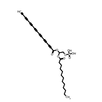 C#CC#CC#CC#CC#CC#CC#CC(=O)OC(COP(=O)(O)O)OC(=O)CCCCCCCCCCCC